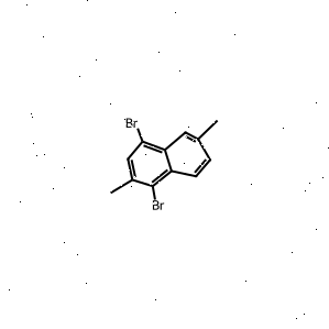 Cc1ccc2c(Br)c(C)cc(Br)c2c1